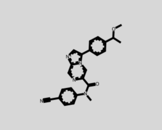 COC(C)c1ccc(-c2cnc3cnc(C(=O)N(C)c4ccc(C#N)cc4)cn23)cc1